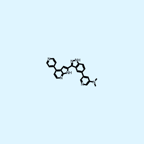 CN(C)c1cncc(-c2ccc3[nH]nc(-c4cc5c(-c6ccncc6)ccnc5[nH]4)c3c2)c1